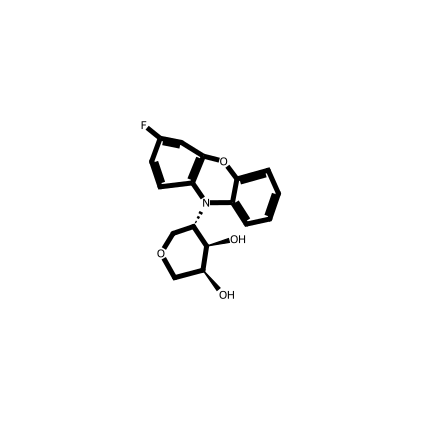 O[C@H]1[C@@H](O)COC[C@@H]1N1c2ccccc2Oc2cc(F)ccc21